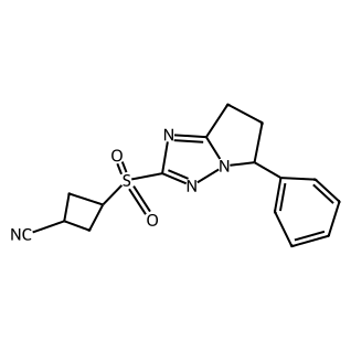 N#CC1CC(S(=O)(=O)c2nc3n(n2)C(c2ccccc2)CC3)C1